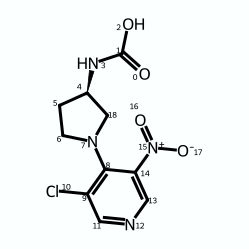 O=C(O)N[C@@H]1CCN(c2c(Cl)cncc2[N+](=O)[O-])C1